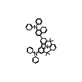 CC1(C)C2=C3C(CC=C2)C(C)(C)c2cc(N(C4C=CC=CC4)C4C=CC=CC4)cc4c5c(n3c24)=C1CC(c1ccc(N(C2=CC=CCC2)c2ccccc2)c2c1C=CCC2)C=5